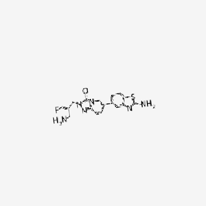 NC/C(=C\F)Cn1nc2ccc(-c3ccc4sc(N)nc4c3)cn2c1=O